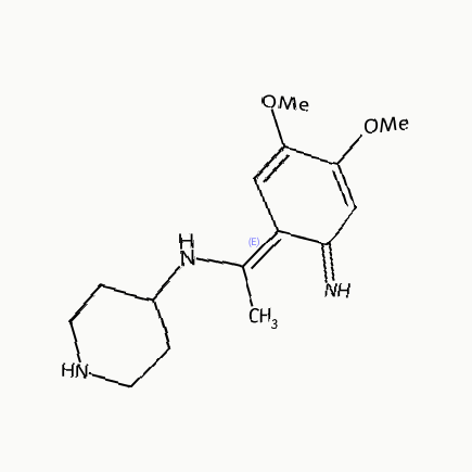 COC1=CC(=N)/C(=C(\C)NC2CCNCC2)C=C1OC